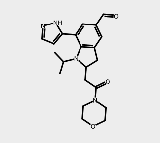 CC(C)N1c2c(cc(C=O)cc2-c2ccn[nH]2)CC1CC(=O)N1CCOCC1